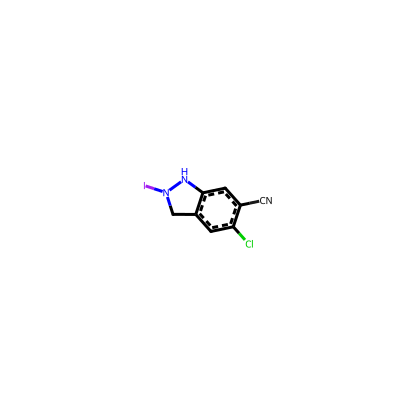 N#Cc1cc2c(cc1Cl)CN(I)N2